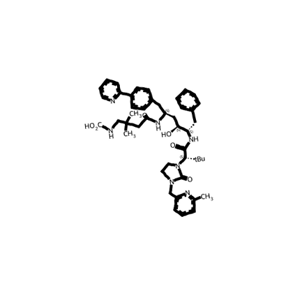 Cc1cccc(CN2CCN([C@H](C(=O)N[C@@H](Cc3ccccc3)[C@@H](O)C[C@H](Cc3ccc(-c4ccccn4)cc3)NC(=O)CC(C)(C)CNC(=O)O)C(C)(C)C)C2=O)n1